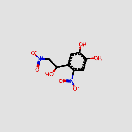 O=[N+]([O-])CC(O)c1cc(O)c(O)cc1[N+](=O)[O-]